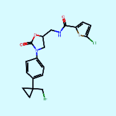 O=C(NCC1CN(c2ccc(C3(CBr)CC3)cc2)C(=O)O1)c1ccc(Cl)s1